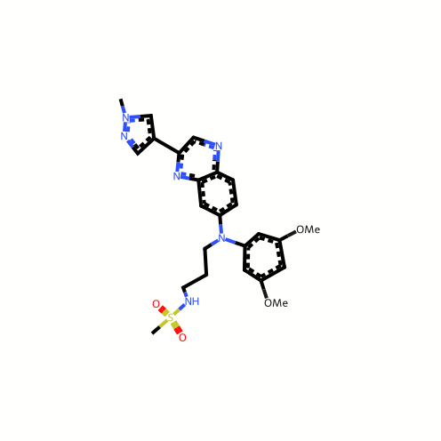 COc1cc(OC)cc(N(CCCNS(C)(=O)=O)c2ccc3ncc(-c4cnn(C)c4)nc3c2)c1